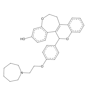 Oc1ccc2c(c1)OCCC1=C2C(c2ccc(OCCN3CCCCCC3)cc2)Oc2ccccc21